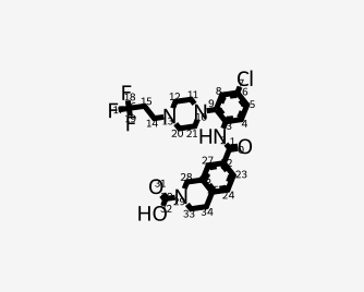 O=C(Nc1ccc(Cl)cc1N1CCN(CCC(F)(F)F)CC1)c1ccc2c(c1)CN(C(=O)O)CC2